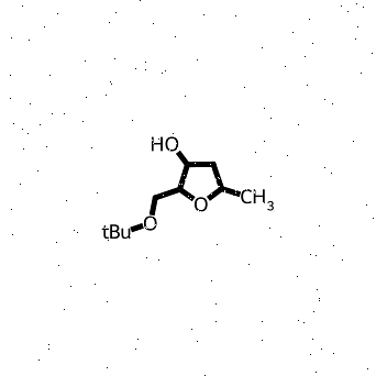 CC1CC(O)C(COC(C)(C)C)O1